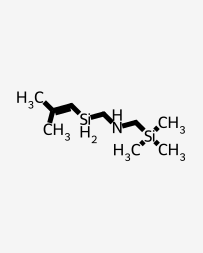 CC(C)=C[SiH2]CNC[Si](C)(C)C